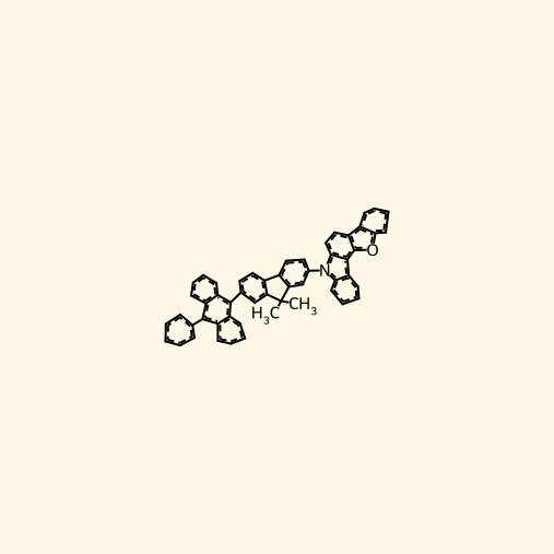 CC1(C)c2cc(-c3c4ccccc4c(-c4ccccc4)c4ccccc34)ccc2-c2ccc(-n3c4ccccc4c4c5oc6ccccc6c5ccc43)cc21